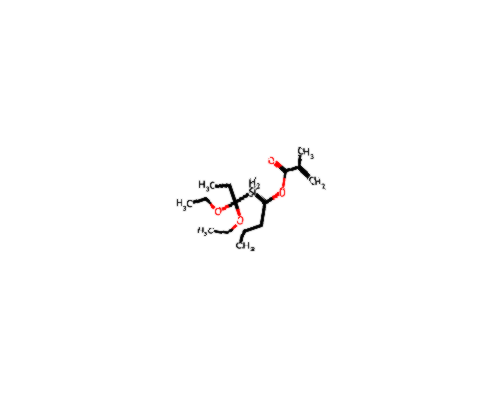 C=C(C)C(=O)OC(CCC)[SiH2]C(CC)(OCC)OCC